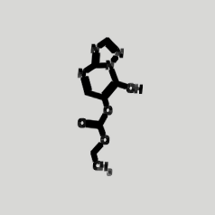 CCOC(=O)Oc1cnc2ncnn2c1O